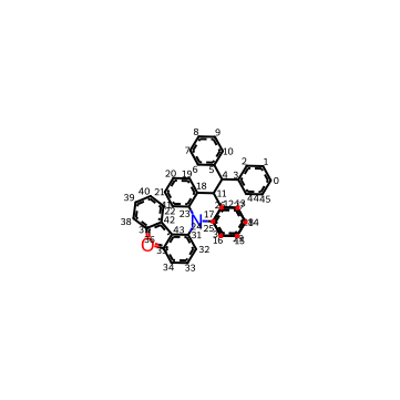 c1ccc(C(c2ccccc2)C(c2ccccc2)c2ccccc2N(c2ccccc2)c2cccc3oc4ccccc4c23)cc1